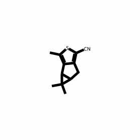 Cc1sc(C#N)c2c1C1C(C2)C1(C)C